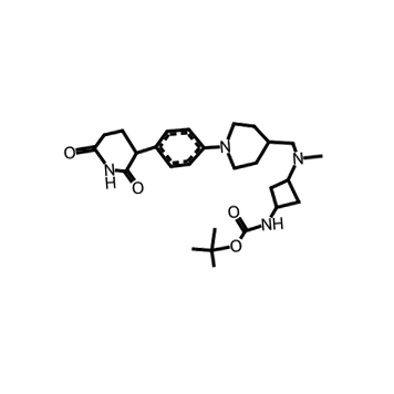 CN(CC1CCN(c2ccc(C3CCC(=O)NC3=O)cc2)CC1)C1CC(NC(=O)OC(C)(C)C)C1